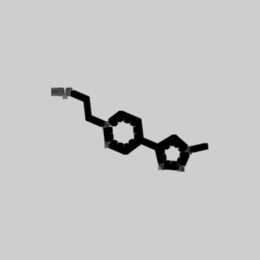 Cn1cc(-c2cc[n+](CCC(=O)O)nc2)nn1